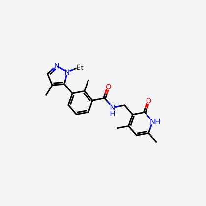 CCn1ncc(C)c1-c1cccc(C(=O)NCc2c(C)cc(C)[nH]c2=O)c1C